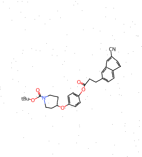 CC(C)(C)OC(=O)N1CCC(Oc2ccc(OC(=O)CCc3ccc4ccc(C#N)cc4c3)cc2)CC1